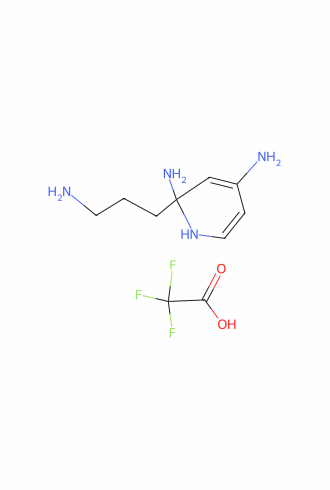 NCCCC1(N)C=C(N)C=CN1.O=C(O)C(F)(F)F